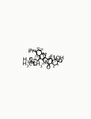 CCC1(O)C(=O)CCc2c1cc1n(c2=O)Cc2c-1nc1ccc(C(C)C)cc1c2CC[Si](C)(C)C